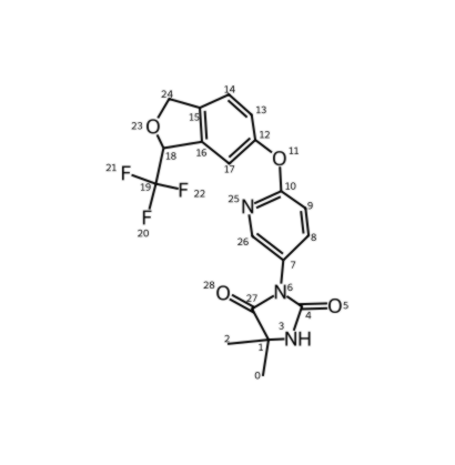 CC1(C)NC(=O)N(c2ccc(Oc3ccc4c(c3)C(C(F)(F)F)OC4)nc2)C1=O